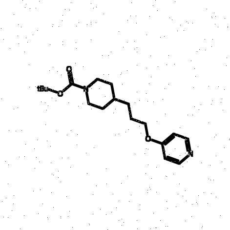 CC(C)(C)OC(=O)N1CCC(CCCOc2ccncc2)CC1